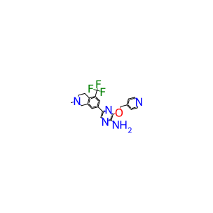 CN1CCc2c(cc(-c3cnc(N)c(OCc4ccncc4)n3)cc2C(F)(F)F)C1